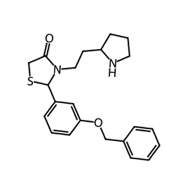 O=C1CSC(c2cccc(OCc3ccccc3)c2)N1CCC1CCCN1